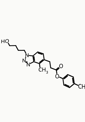 Cc1ccc(OC(=O)CCc2ccc3c(nnn3CCCCO)c2C)cc1